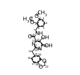 COc1cccc(CNC(=O)c2nc(Cc3ccc4c(c3)OCO4)nc(O)c2O)c1OC